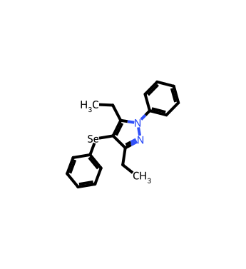 CCc1nn(-c2ccccc2)c(CC)c1[Se]c1ccccc1